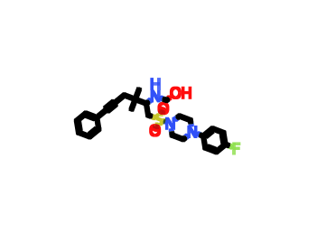 CC(C)(CC#Cc1ccccc1)C(CS(=O)(=O)N1CCN(c2ccc(F)cc2)CC1)NCO